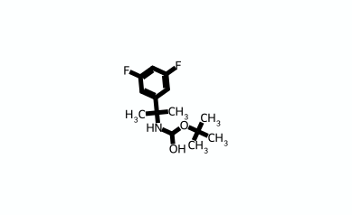 CC(C)(C)OC(O)NC(C)(C)c1cc(F)cc(F)c1